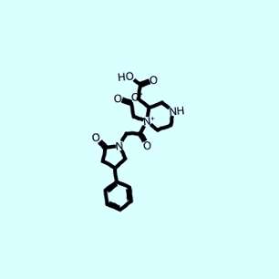 O=C([O-])C[N+]1(C(=O)CN2CC(c3ccccc3)CC2=O)CCNCC1CC(=O)O